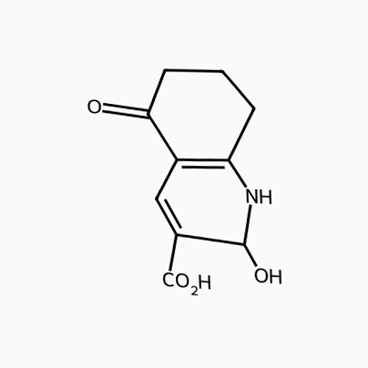 O=C(O)C1=CC2=C(CCCC2=O)NC1O